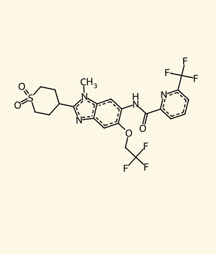 Cn1c(C2CCS(=O)(=O)CC2)nc2cc(OCC(F)(F)F)c(NC(=O)c3cccc(C(F)(F)F)n3)cc21